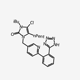 CCCCCc1c(Cl)n(C(C)CC)c(=O)n1Cc1ccc(-c2ccccc2-c2nnn[nH]2)nc1